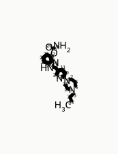 CCCCN1CCCN(c2ccc(-c3nc4c(OC(N)=O)cccc4[nH]3)cn2)CC1